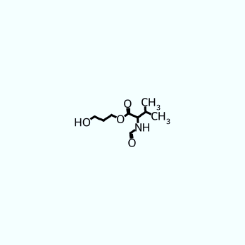 CC(C)C(NC=O)C(=O)OCCCO